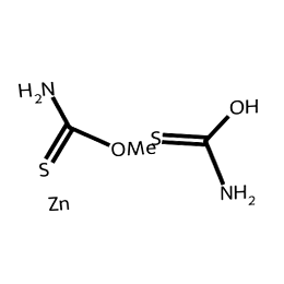 COC(N)=S.NC(O)=S.[Zn]